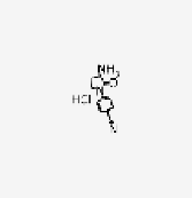 Cl.N#Cc1ccc(N2CC[C@H](N)C2=O)cc1